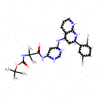 CC(C)(C)OC(=O)NC(C)(C)C(=O)Nc1cc(Nc2cc(-c3cc(Cl)ccc3F)nc3ncccc23)ncn1